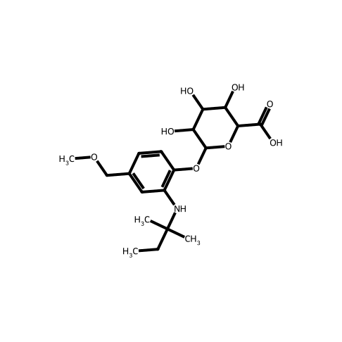 CCC(C)(C)Nc1cc(COC)ccc1OC1OC(C(=O)O)C(O)C(O)C1O